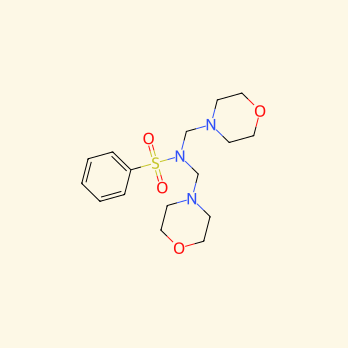 O=S(=O)(c1ccccc1)N(CN1CCOCC1)CN1CCOCC1